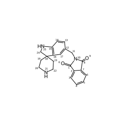 O=C1c2ccccc2C(=O)N1Cc1ccc2c(c1)C1(CCNCC1)CN2